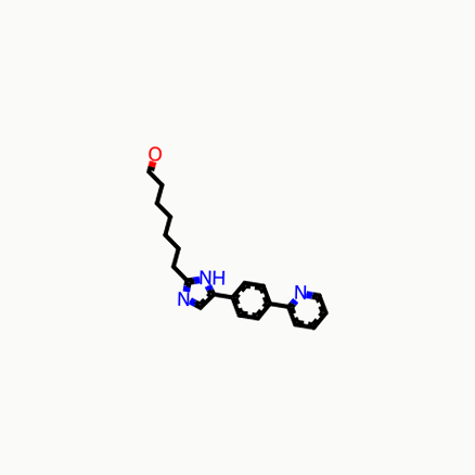 O=CCCCCCCc1ncc(-c2ccc(-c3ccccn3)cc2)[nH]1